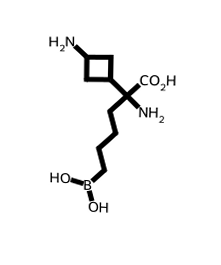 NC1CC(C(N)(CCCCB(O)O)C(=O)O)C1